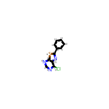 Clc1ncnc2sc(-c3ccccc3)nc12